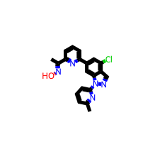 CC(=NO)c1cccc(-c2cc(Cl)c3cnn(-c4cccc(C)n4)c3c2)n1